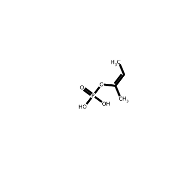 CC=C(C)OP(=O)(O)O